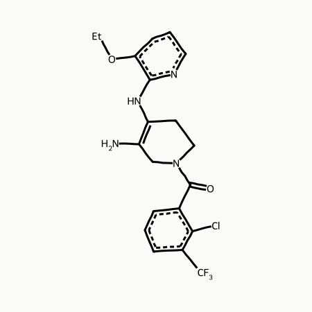 CCOc1cccnc1NC1=C(N)CN(C(=O)c2cccc(C(F)(F)F)c2Cl)CC1